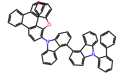 c1ccc(-c2ccccc2-c2ccc(-n3c4ccccc4c4c(-c5cccc6c5c5ccccc5n6-c5ccccc5-c5ccccc5)cccc43)c3oc4ccccc4c23)cc1